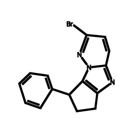 Brc1ccc2nc3c(n2n1)C(c1ccccc1)CC3